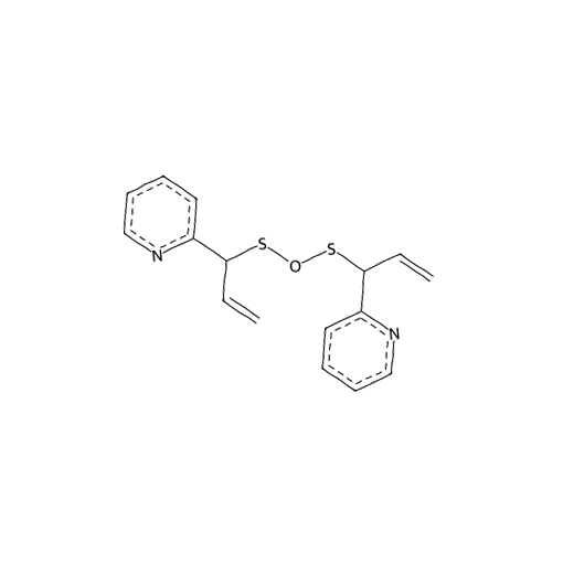 C=CC(SOSC(C=C)c1ccccn1)c1ccccn1